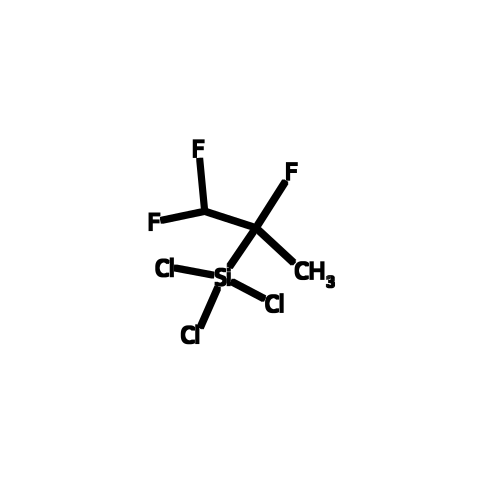 CC(F)(C(F)F)[Si](Cl)(Cl)Cl